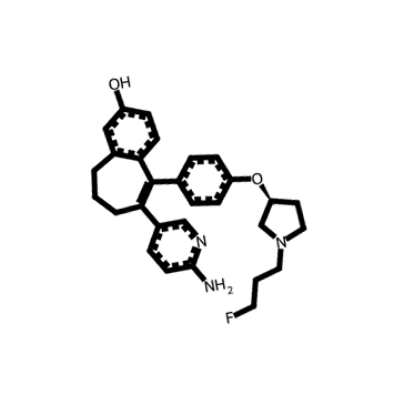 Nc1ccc(C2=C(c3ccc(O[C@H]4CCN(CCCF)C4)cc3)c3ccc(O)cc3CCC2)cn1